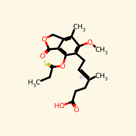 CCC(=S)Oc1c(C/C=C(\C)CCC(=O)O)c(OC)c(C)c2c1C(=O)OC2